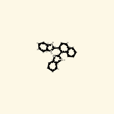 c1ccc2c(-c3nc4ccccc4s3)c(-c3nc4ccccc4s3)ccc2c1